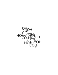 O=C(O)[C@@]1(O)CC(O)[C@H](O)[C@H](O)C1.O=C(O)[C@@]1(O)CC(O)[C@H](O)[C@H](O)C1